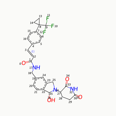 O=C(/C=C/c1ccc(C2(C(F)(F)F)CC2)cc1)NCc1ccc2c(c1)CN(C1CCC(=O)NC1=O)C2O